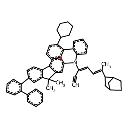 C#C/C(=C\C=C(/C)C1CC2CCC1C2)N(c1ccc2c(c1)C(C)(C)c1cc(-c3ccccc3-c3ccccc3)ccc1-2)c1ccccc1-c1ccccc1C1CCCCC1